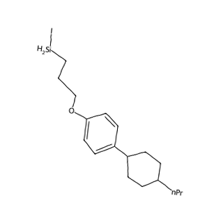 CCCC1CCC(c2ccc(OCCC[SiH2]I)cc2)CC1